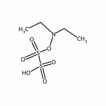 CCN(CC)OS(=O)(=O)S(=O)(=O)O